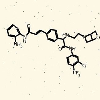 Nc1ccccc1NC(=O)/C=C/c1ccc(C(NCCN2CC3OCC32)C(=O)Nc2ccc(C(F)(F)F)c(Cl)c2)cc1